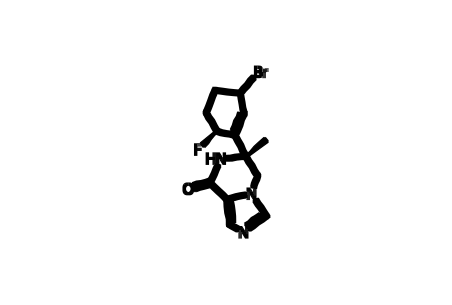 C[C@@]1(C2=CC(Br)CC[C@@H]2F)Cn2cncc2C(=O)N1